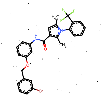 Cc1cc(C(=O)Nc2cccc(OCc3cccc(Br)c3)c2)c(C)n1-c1ccccc1C(F)(F)F